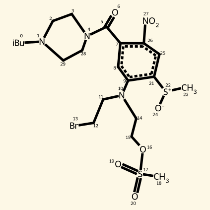 CCC(C)N1CCN(C(=O)c2cc(N(CCBr)CCOS(C)(=O)=O)c([S+](C)[O-])cc2[N+](=O)[O-])CC1